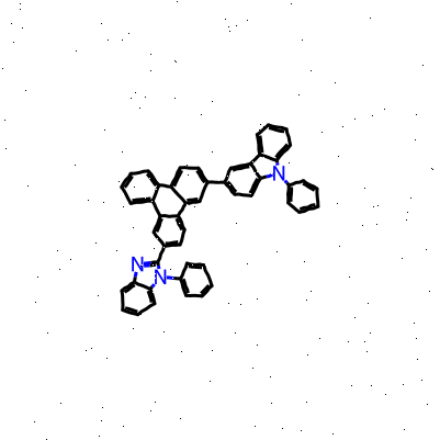 c1ccc(-n2c(-c3ccc4c5cc(-c6ccc7c(c6)c6ccccc6n7-c6ccccc6)ccc5c5ccccc5c4c3)nc3ccccc32)cc1